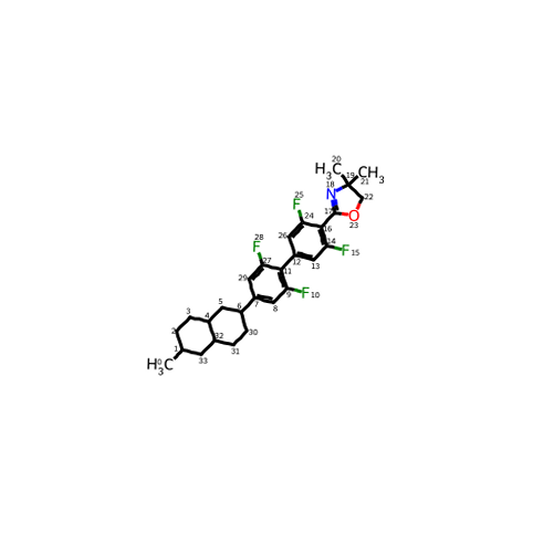 CC1CCC2CC(c3cc(F)c(-c4cc(F)c(C5=NC(C)(C)CO5)c(F)c4)c(F)c3)CCC2C1